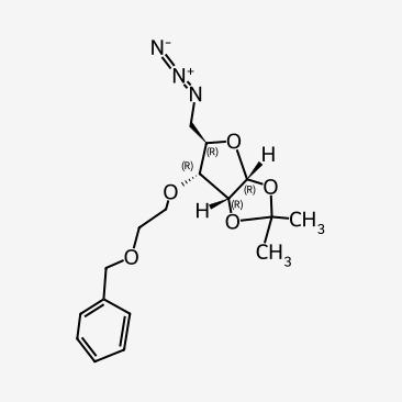 CC1(C)O[C@H]2O[C@H](CN=[N+]=[N-])[C@@H](OCCOCc3ccccc3)[C@H]2O1